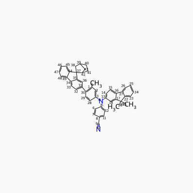 Cc1cc(N(c2ccc(C#N)cc2)c2ccc3c(c2)C(C)(C)c2ccccc2-3)ccc1-c1ccc2c(c1)C1(CC3CCC1C3)c1ccccc1-2